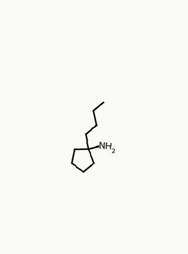 CCCCC1(N)CCCC1